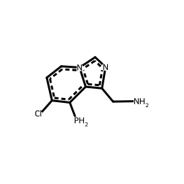 NCc1ncn2ccc(Cl)c(P)c12